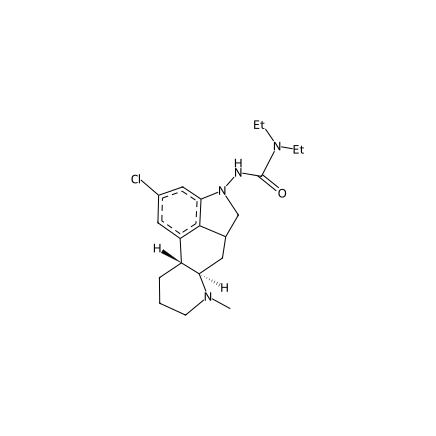 CCN(CC)C(=O)NN1CC2C[C@@H]3[C@H](CCCN3C)c3cc(Cl)cc1c32